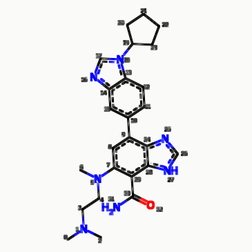 CN(C)CCN(C)c1cc(-c2ccc3c(c2)ncn3C2CCCC2)c2nc[nH]c2c1C(N)=O